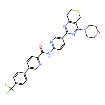 O=C(Nc1ccc(-c2nc3c(c(N4CCOCC4)n2)CSCC3)cn1)c1ccc(-c2ccc(C(F)(F)F)cc2)cn1